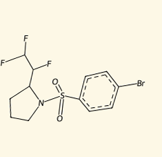 O=S(=O)(c1ccc(Br)cc1)N1CCCC1C(F)C(F)F